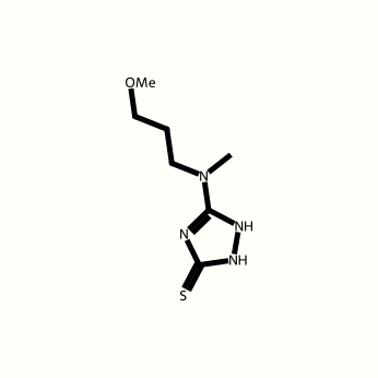 COCCCN(C)c1nc(=S)[nH][nH]1